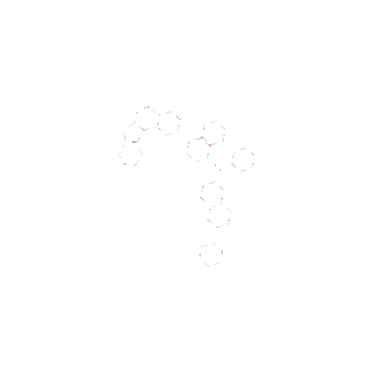 c1ccc(-c2ccc3cc(N(c4ccc(-c5ccc6ccc7oc8ccccc8c7c6c5)cc4)c4ccccc4-c4ccccc4)ccc3c2)cc1